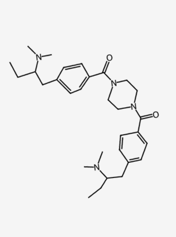 CCC(Cc1ccc(C(=O)N2CCN(C(=O)c3ccc(CC(CC)N(C)C)cc3)CC2)cc1)N(C)C